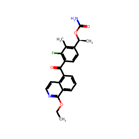 CCOc1nccc2c(C(=O)c3ccc([C@H](C)OC(N)=O)c(C)c3F)cccc12